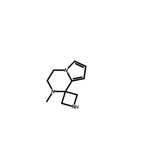 CN1CCn2cccc2C12CNC2